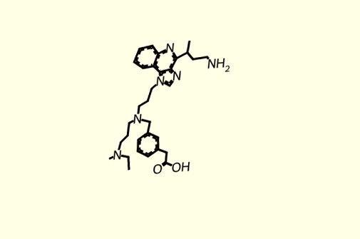 CCN(C)CCCN(CCCn1cnc2c(C(C)CCN)nc3ccccc3c21)Cc1cccc(CC(=O)O)c1